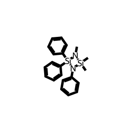 CN1[Si](C)(C)N(c2ccccc2)[Si]1(c1ccccc1)c1ccccc1